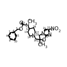 CN(C(=O)OCc1ccccc1)C1CCN(CC2(C)Cn3cc([N+](=O)[O-])nc3O2)CC1